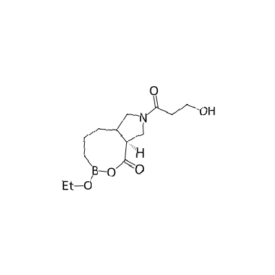 CCOB1CCCC2CN(C(=O)CCO)C[C@H]2C(=O)O1